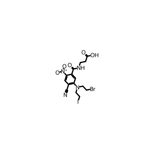 N#Cc1cc([N+](=O)[O-])c(C(=O)NCCC(=O)O)cc1N(CCBr)CCI